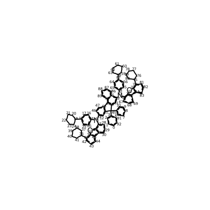 c1ccc(C2(c3ccccc3)c3cc(N(c4ccc(C5CCCCC5)cc4)c4cccc5c4oc4c(C6CCCCC6)cccc45)ccc3-c3c2cc(N(c2ccc(C4CCCCC4)cc2)c2cccc4c2oc2c(C5CCCCC5)cccc24)c2ccccc32)cc1